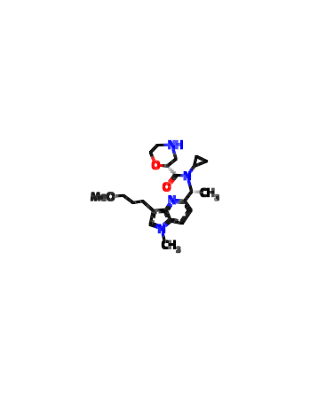 COCCCc1cn(C)c2ccc([C@@H](C)N(C(=O)[C@H]3CNCCO3)C3CC3)nc12